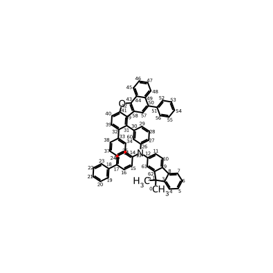 CC1(C)c2ccccc2-c2ccc(N(c3ccc(-c4ccccc4)cc3)c3cccc(-c4c(-c5ccccc5)ccc5oc6c7ccccc7c(-c7ccccc7)cc6c45)c3)cc21